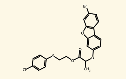 CC(Oc1ccc2c(c1)oc1cc(Br)ccc12)C(=O)OCCSc1ccc(Cl)cc1